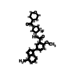 COc1ncc(-c2ccc3c(N)ncnn23)cc1C(=O)N[C@@H]1CN(C(=O)C2CCOCC2)C[C@@H]1F